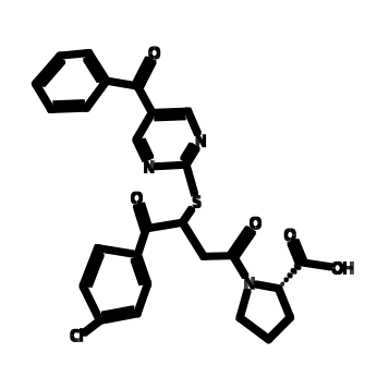 O=C(c1ccccc1)c1cnc(SC(CC(=O)N2CCC[C@H]2C(=O)O)C(=O)c2ccc(Cl)cc2)nc1